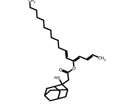 C/C=C/C=C(/C=C/CCCCCCCCCC)OC(=O)CC1(S)C2CC3CC(C2)CC1C3